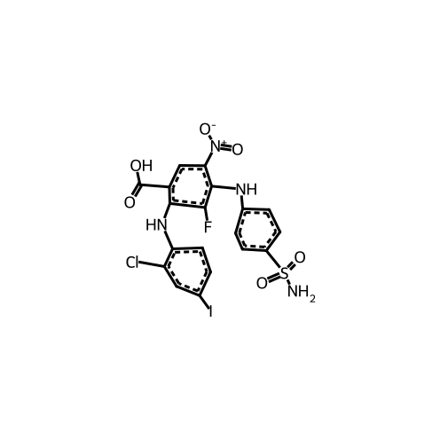 NS(=O)(=O)c1ccc(Nc2c([N+](=O)[O-])cc(C(=O)O)c(Nc3ccc(I)cc3Cl)c2F)cc1